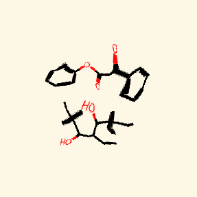 CCC(C(O)C(C)(C)C)C(O)C(C)(C)C.O=C(Oc1ccccc1)C(=O)c1ccccc1